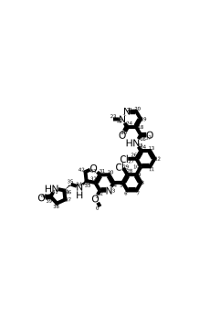 COc1nc(-c2cccc(-c3cccc(NC(=O)c4ccnn(C)c4=O)c3Cl)c2Cl)cc2c1[C@@H](NC[C@@H]1CCC(=O)N1)CO2